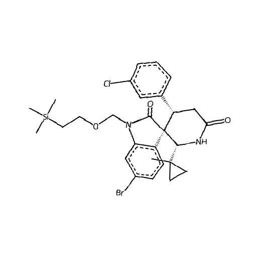 CC1([C@H]2NC(=O)C[C@@H](c3cccc(Cl)c3)[C@]23C(=O)N(COCC[Si](C)(C)C)c2cc(Br)ccc23)CC1